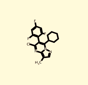 Cc1cnn2c(C3CCCCC3)c(-c3c(F)cc(F)cc3F)c(Cl)nc12